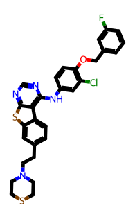 Fc1cccc(COc2ccc(Nc3ncnc4sc5cc(CCN6CCSCC6)ccc5c34)cc2Cl)c1